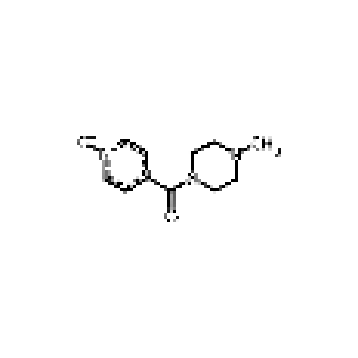 CN1CCN(C(=O)c2cc[n+]([O-])cc2)CC1